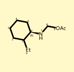 CCC1CCCC[C@H]1NCOC(C)=O